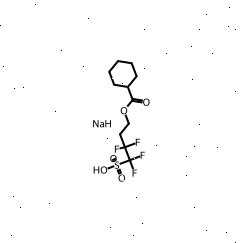 O=C(OCCC(F)(F)C(F)(F)S(=O)(=O)O)C1CCCCC1.[NaH]